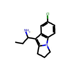 C[CH]C(N)c1c2n(c3ccc(Cl)cc13)CCC2